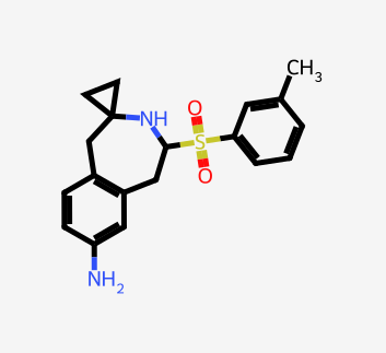 Cc1cccc(S(=O)(=O)C2Cc3cc(N)ccc3CC3(CC3)N2)c1